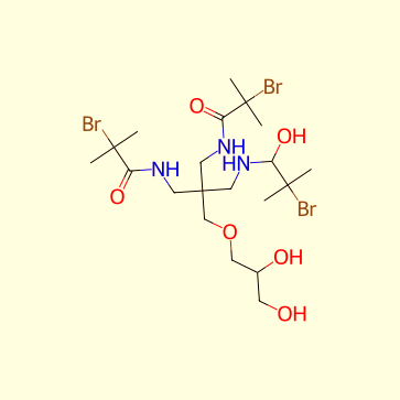 CC(C)(Br)C(=O)NCC(CNC(=O)C(C)(C)Br)(CNC(O)C(C)(C)Br)COCC(O)CO